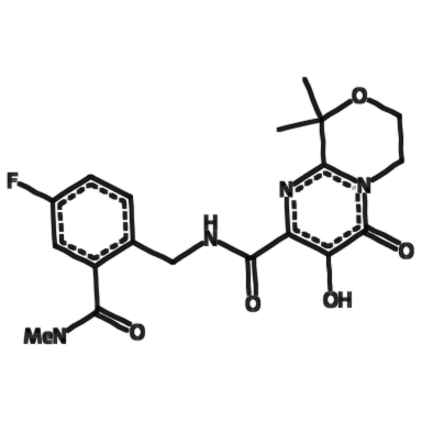 CNC(=O)c1cc(F)ccc1CNC(=O)c1nc2n(c(=O)c1O)CCOC2(C)C